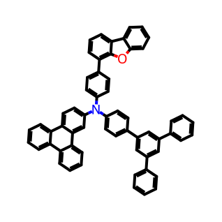 c1ccc(-c2cc(-c3ccccc3)cc(-c3ccc(N(c4ccc(-c5cccc6c5oc5ccccc56)cc4)c4ccc5c6ccccc6c6ccccc6c5c4)cc3)c2)cc1